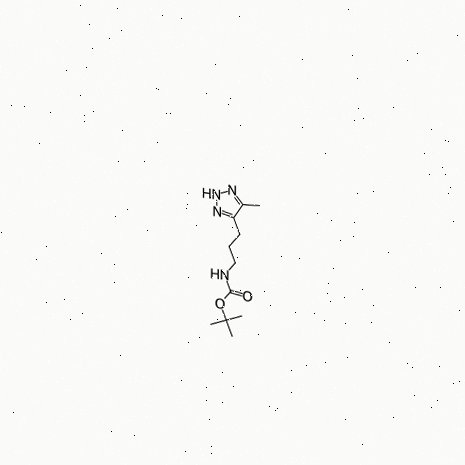 Cc1n[nH]nc1CCCNC(=O)OC(C)(C)C